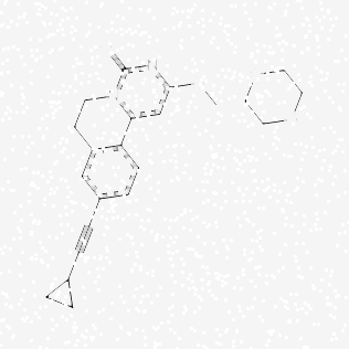 O=c1nc(OC[C@H]2COCCO2)cc2n1CCc1cc(C#CC3CC3)ccc1-2